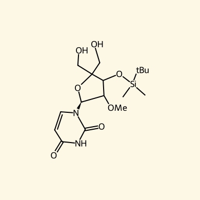 COC1C(O[Si](C)(C)C(C)(C)C)C(CO)(CO)O[C@@H]1n1ccc(=O)[nH]c1=O